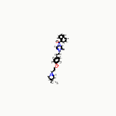 CC1CCN(CCCOc2ccc(CCN3CCN(C(=O)c4cccc5ccccc45)CC3)cc2)CC1